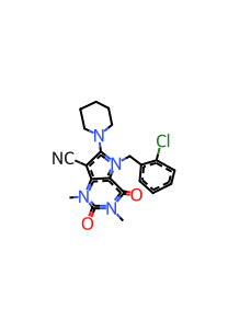 Cn1c(=O)c2c(c(C#N)c(N3CCCCC3)n2Cc2ccccc2Cl)n(C)c1=O